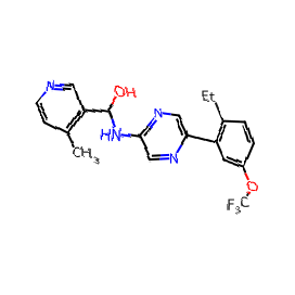 CCc1ccc(OC(F)(F)F)cc1-c1cnc(NC(O)c2cnccc2C)cn1